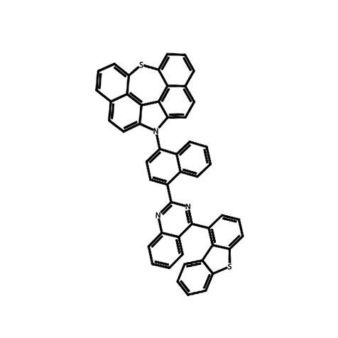 c1ccc2c(-c3cccc4sc5ccccc5c34)nc(-c3ccc(-n4c5ccc6cccc7sc8cccc9ccc4c(c98)c5c67)c4ccccc34)nc2c1